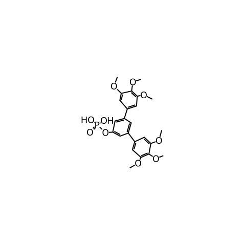 COc1cc(-c2cc(OP(=O)(O)O)cc(-c3cc(OC)c(OC)c(OC)c3)c2)cc(OC)c1OC